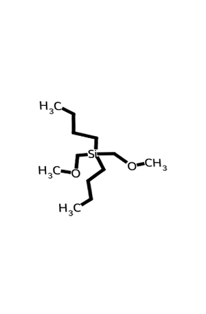 CCCC[Si](CCCC)(COC)COC